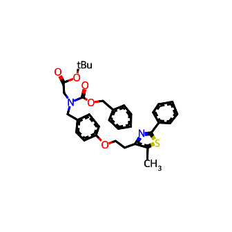 Cc1sc(-c2ccccc2)nc1CCOc1ccc(CN(CC(=O)OC(C)(C)C)C(=O)OCc2ccccc2)cc1